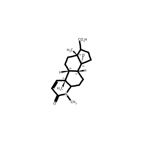 CN1C(=O)C=C[C@@]2(C)C1CC[C@@H]1[C@H]2CC[C@]2(C)C(C(=O)O)CC[C@@H]12